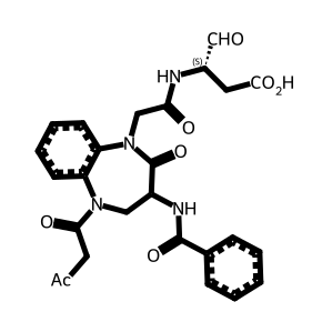 CC(=O)CC(=O)N1CC(NC(=O)c2ccccc2)C(=O)N(CC(=O)N[C@H](C=O)CC(=O)O)c2ccccc21